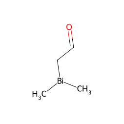 [CH3][Bi]([CH3])[CH2]C=O